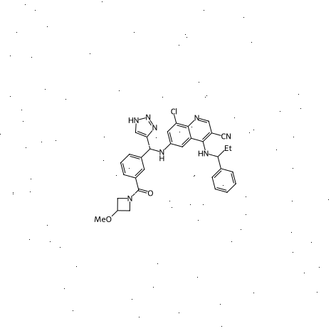 CCC(Nc1c(C#N)cnc2c(Cl)cc(NC(c3cccc(C(=O)N4CC(OC)C4)c3)c3c[nH]nn3)cc12)c1ccccc1